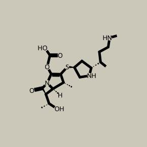 CNCCC(C)[C@H]1C[C@H](SC2=C(OC(=O)O)N3C(=O)[C@H]([C@@H](C)O)[C@@H]3[C@H]2C)CN1